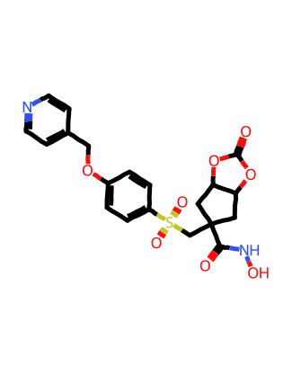 O=C1OC2CC(CS(=O)(=O)c3ccc(OCc4ccncc4)cc3)(C(=O)NO)CC2O1